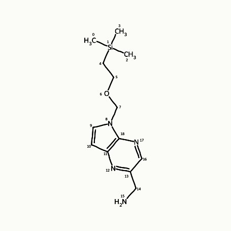 C[Si](C)(C)CCOCn1ccc2nc(CN)cnc21